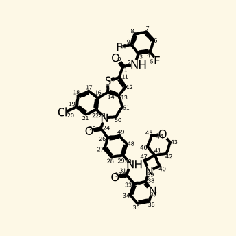 O=C(Nc1c(F)cccc1F)c1cc2c(s1)-c1ccc(Cl)cc1N(C(=O)c1ccc(NC(=O)c3cccnc3N3CC4(CCOCC4)C3)cc1)CC2